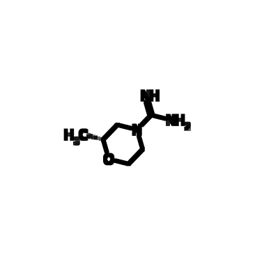 C[C@@H]1CN(C(=N)N)CCO1